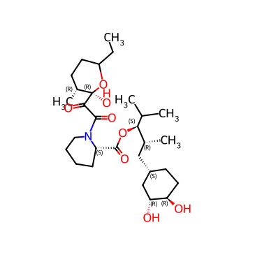 CCC1CC[C@@H](C)[C@](O)(C(=O)C(=O)N2CCCC[C@H]2C(=O)O[C@@H](C(C)C)[C@H](C)C[C@@H]2CC[C@@H](O)[C@H](O)C2)O1